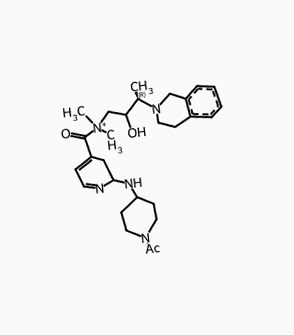 CC(=O)N1CCC(NC2CC(C(=O)[N+](C)(C)CC(O)[C@@H](C)N3CCc4ccccc4C3)=CC=N2)CC1